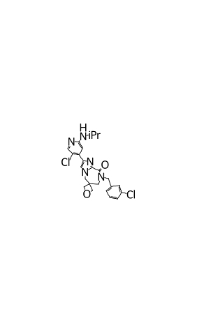 CC(C)Nc1cc(-c2cn3c(n2)C(=O)N(Cc2cccc(Cl)c2)CC2(COC2)C3)c(Cl)cn1